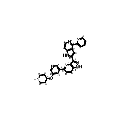 c1ccc(-c2nccc3[nH]c(-c4n[nH]c5ccc(-c6cncc(OC7CCNCC7)c6)nc45)cc23)nc1